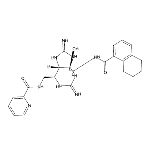 N=C1N[C@H]2[C@H](CNC(=O)c3ccccn3)NC(=N)N3CC(NC(=O)c4cccc5c4CCCC5)[C@@H](O)[C@]23N1